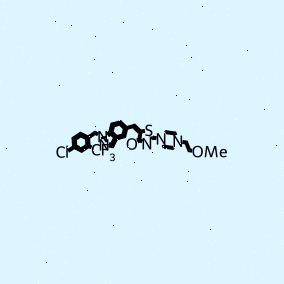 COCCN1CCN(C2=NC(=O)C(=Cc3ccc4c(cnn4Cc4ccc(Cl)cc4C(F)(F)F)c3)S2)CC1